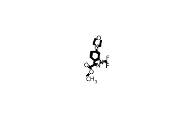 CCOC(=O)c1nn(C(F)F)c2cc(N3CCOCC3)ccc12